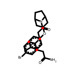 NC(=O)Cc1cc(Br)ccc1OCC(=O)N1C2CCC1CC(Oc1ccc(F)cc1)C2